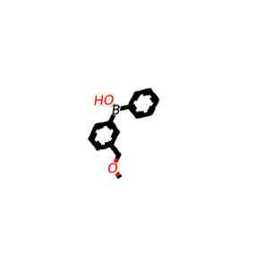 COCc1cccc(B(O)c2ccccc2)c1